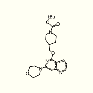 CC(C)(C)OC(=O)N1CCC(COc2nc(N3CCOCC3)cc3ncccc23)CC1